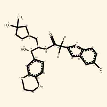 CC1(C)CCN(C[C@@H](NC(=O)C(F)(F)c2cc3cc(Cl)ccc3o2)[C@@H](O)c2ccc3c(c2)OCCO3)C1